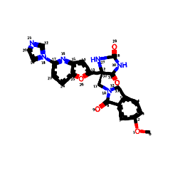 COc1ccc2c(c1)C(=O)N(C[C@@]1(c3cc4nc(-n5ccnc5)ccc4o3)NC(=O)NC1=O)C2